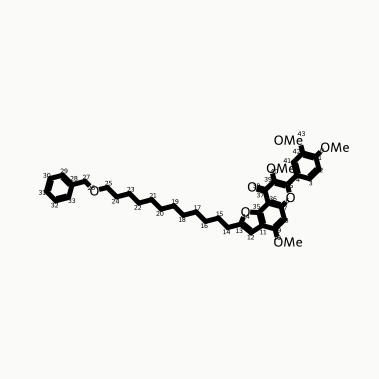 COc1ccc(-c2oc3cc(OC)c4cc(CCCCCCCCCCCCOCc5ccccc5)oc4c3c(=O)c2OC)cc1OC